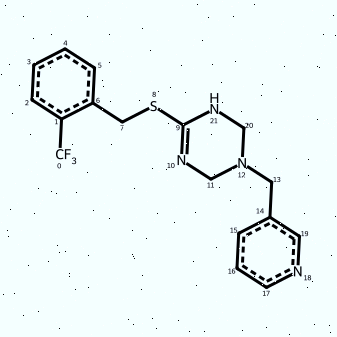 FC(F)(F)c1ccccc1CSC1=NCN(Cc2cccnc2)CN1